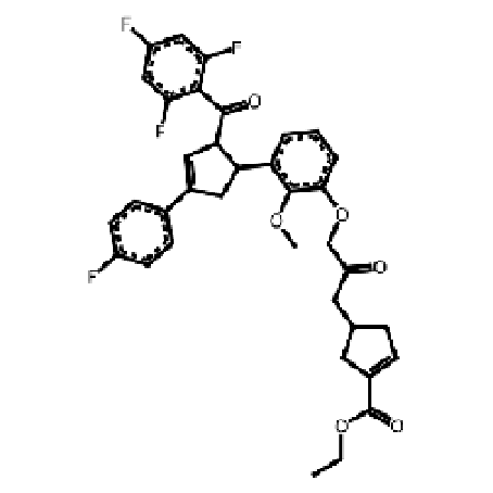 CCOC(=O)C1=CCC(CC(=O)COc2cccc(C3CC(c4ccc(F)cc4)=CC3C(=O)c3c(F)cc(F)cc3F)c2OC)C1